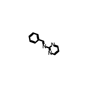 C(=Nc1ncccn1)c1ccccc1